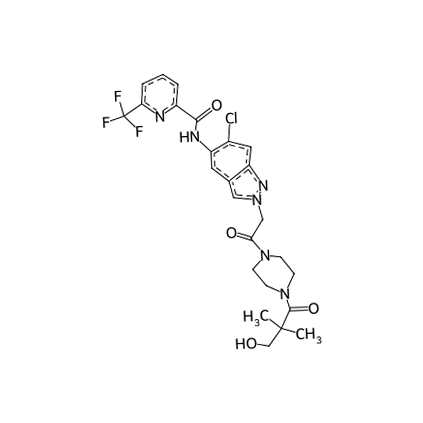 CC(C)(CO)C(=O)N1CCN(C(=O)Cn2cc3cc(NC(=O)c4cccc(C(F)(F)F)n4)c(Cl)cc3n2)CC1